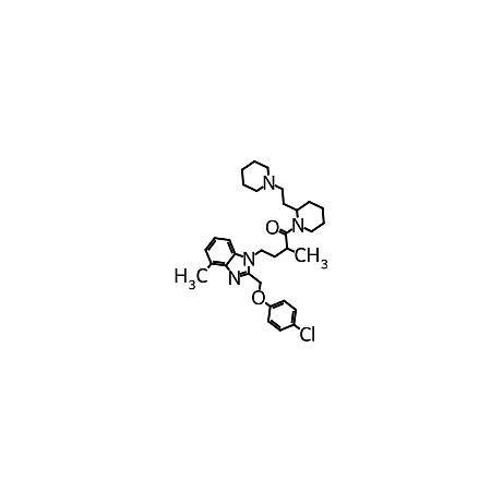 Cc1cccc2c1nc(COc1ccc(Cl)cc1)n2CCC(C)C(=O)N1CCCCC1CCN1CCCCC1